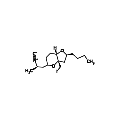 [C-]#[N+][C@H](C)CC1CC[C@@H]2O[C@@H](CCCC)C[C@]2(CI)O1